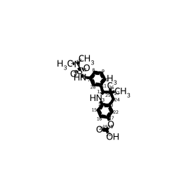 CN(C)S(=O)(=O)Nc1cccc(C2Nc3ccc(OC(=O)O)cc3CC2(C)C)c1